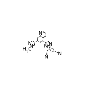 Cn1cc(-c2cc(-c3cnn([C@]4(CC#N)C[C@@H](C#N)C4)n3)c3cccnc3c2)cn1